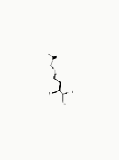 CC(=O)COCCC(N)C(O)O